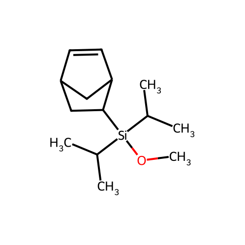 CO[Si](C(C)C)(C(C)C)C1CC2C=CC1C2